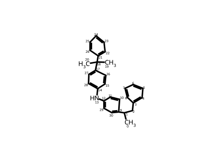 CC(Cc1ccccc1)c1ccc(Nc2ccc(C(C)(C)c3ccccc3)cc2)cc1